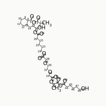 CC(O)C(=O)OC(=O)C1CCCCC1CCCOC(=O)CCCCCOC(=O)COCCOCC(=O)OC(C)C(=O)OC(=O)CCCCCO